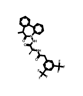 CC1C(=O)N(NC(=O)[C@H](C)NC(=O)Cc2cc(C(F)(F)F)cc(C(F)(F)F)c2)c2ccccc2-c2ccccc21